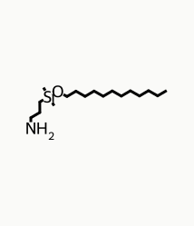 CCCCCCCCCCCCO[Si](C)(C)CCCN